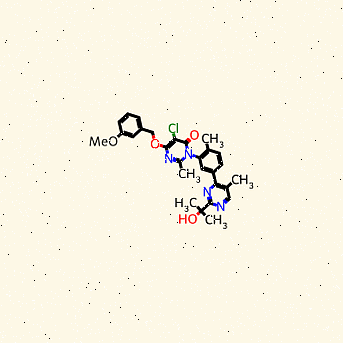 COc1cccc(COc2nc(C)n(-c3cc(-c4nc(C(C)(C)O)ncc4C)ccc3C)c(=O)c2Cl)c1